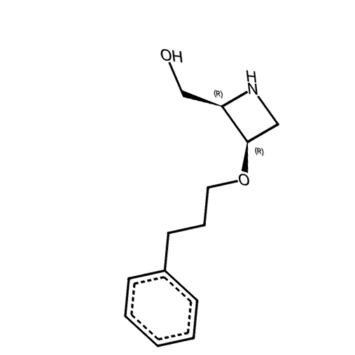 OC[C@H]1NC[C@H]1OCCCc1ccccc1